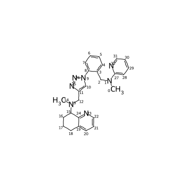 CN(Cc1ccccc1-n1cc(CN(C)C2CCCc3cccnc32)nn1)c1ccccn1